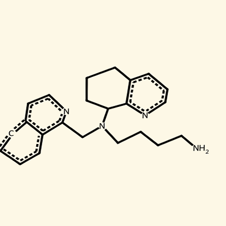 NCCCCN(Cc1nccc2ccccc12)C1CCCc2cccnc21